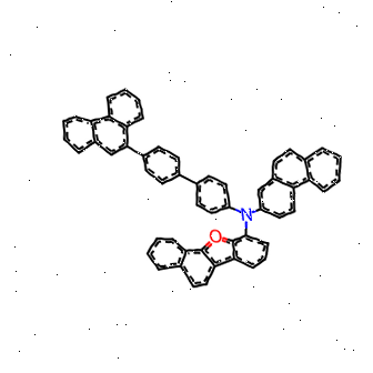 c1ccc2c(c1)ccc1cc(N(c3ccc(-c4ccc(-c5cc6ccccc6c6ccccc56)cc4)cc3)c3cccc4c3oc3c5ccccc5ccc43)ccc12